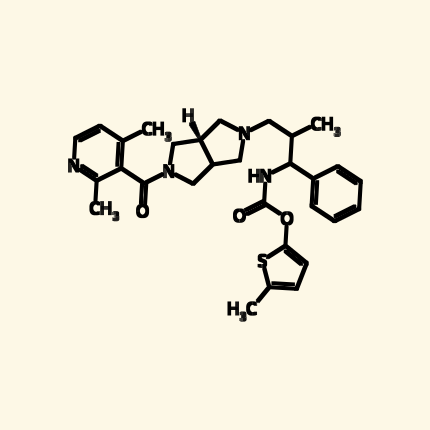 Cc1ccc(OC(=O)NC(c2ccccc2)C(C)CN2CC3CN(C(=O)c4c(C)ccnc4C)C[C@@H]3C2)s1